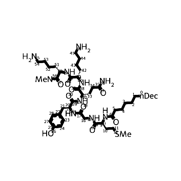 CCCCCCCCCCCCCCCC(=O)N[C@@H](CCSC)C(=O)NCC(=O)N[C@@H](Cc1ccc(O)cc1)C(=O)N[C@@H](CCC(N)=O)C(=O)N[C@@H](CCCCN)C(=O)N[C@@H](CCCCN)C(=O)NC